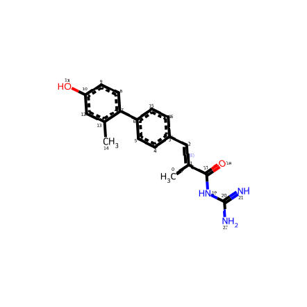 C/C(=C\c1ccc(-c2ccc(O)cc2C)cc1)C(=O)NC(=N)N